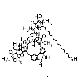 CCCCCCCCCCCCCCCC(=O)N(C)[C@H](CO)C(=O)N[C@H](N)C(=O)NCC(=O)N(C)[C@@H]1C(=O)N[C@@H](C)C(=O)N[C@H](C(=O)N[C@H](C)C(=O)C(=O)N(C)C)Cc2ccc(O)c(c2)-c2cc1ccc2O